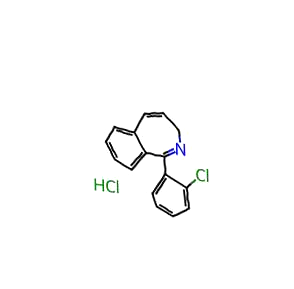 Cl.Clc1ccccc1C1=NCC=Cc2ccccc21